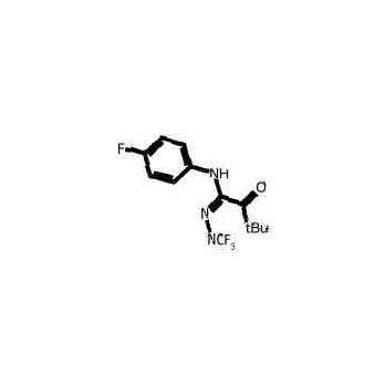 CC(C)(C)C(=O)C(=NNC(F)(F)F)Nc1ccc(F)cc1